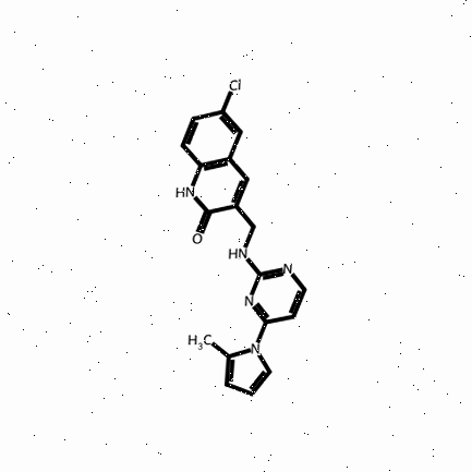 Cc1cccn1-c1ccnc(NCc2cc3cc(Cl)ccc3[nH]c2=O)n1